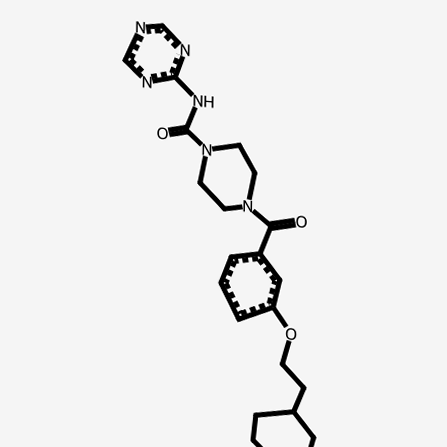 O=C(Nc1ncncn1)N1CCN(C(=O)c2cccc(OCCC3CCCCC3)c2)CC1